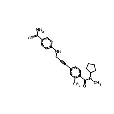 Cc1cc(C#CCNc2ccc(C(=N)N)cc2)ccc1C(=O)N(C)C1CCCC1